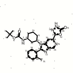 CC(C)(C)OC(=O)N[C@H]1CCC[C@@H](n2c(-c3ccccc3F)nc3cnc(-c4n[nH]c(=O)o4)cc32)C1